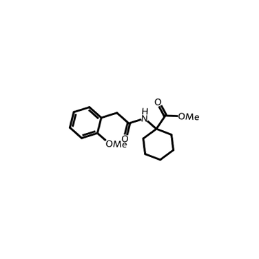 COC(=O)C1(NC(=O)Cc2ccccc2OC)CCCCC1